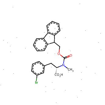 CN(C(=O)OCC1c2ccccc2-c2ccccc21)[C@@H](Cc1cccc(Br)c1)C(=O)O